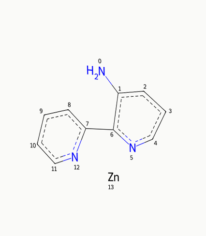 Nc1cccnc1-c1ccccn1.[Zn]